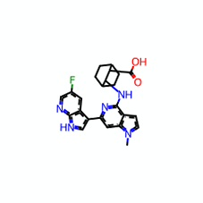 Cn1ccc2c(NC3C4CCC(CC4)C3C(=O)O)nc(-c3c[nH]c4ncc(F)cc34)cc21